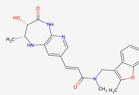 Cc1oc2ccccc2c1CN(C)C(=O)/C=C/c1cnc2c(c1)N[C@H](C)[C@H](O)C(=O)N2